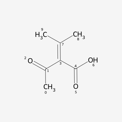 CC(=O)C(C(=O)O)=C(C)C